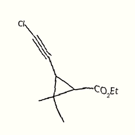 CCOC(=O)C1C(C#CCl)C1(C)C